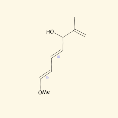 C=C(C)C(O)/C=C/C=C/OC